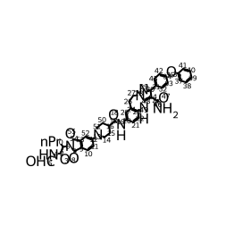 CCCC(C(=O)NC=O)N1C(=O)c2ccc(N3CCC(C(=O)Nc4ccc5c(c4)CCn4nc(-c6ccc(Oc7ccccc7)cc6)c(C(N)=O)c4N5)CC3)cc2C1=O